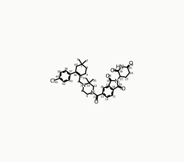 CC1(C)CCC(CN2CCN(C(=O)c3ccc4c(c3)C(=O)N(C3CCC(=O)NC3=O)C4=O)CC2(C)C)=C(c2ccc(Cl)cc2)C1